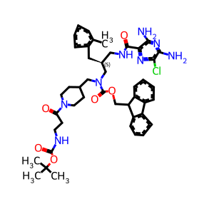 Cc1ccccc1C[C@@H](CNC(=O)c1nc(Cl)c(N)nc1N)CN(CC1CCN(C(=O)CCNC(=O)OC(C)(C)C)CC1)C(=O)OCC1c2ccccc2-c2ccccc21